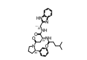 CC(C)CCC(=O)N[C@@H](CC(=O)N1CCC[C@@H]1c1ccccc1)C(=O)N[C@H](C)c1nc2ccccc2[nH]1